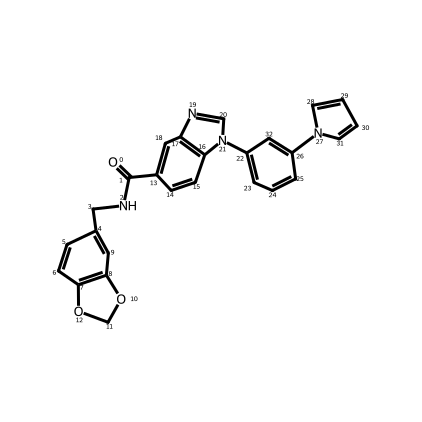 O=C(NCc1ccc2c(c1)OCO2)c1ccc2c(c1)ncn2-c1cccc(-n2cccc2)c1